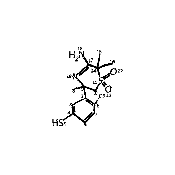 CC1(c2cc(S)ccc2F)CS(=O)(=O)C(C)(C)C(N)=N1